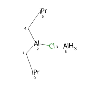 CC(C)[CH2][Al]([Cl])[CH2]C(C)C.[AlH3]